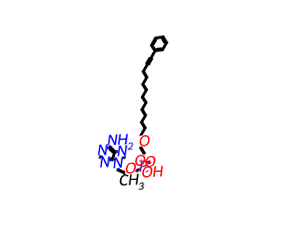 C[C@H](Cn1cnc2c(N)ncnc21)OCP(=O)(O)OCCOCCCCCCCCCCCC#Cc1ccccc1